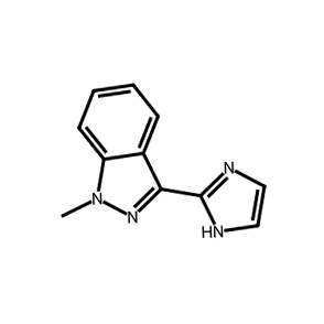 Cn1nc(-c2ncc[nH]2)c2ccccc21